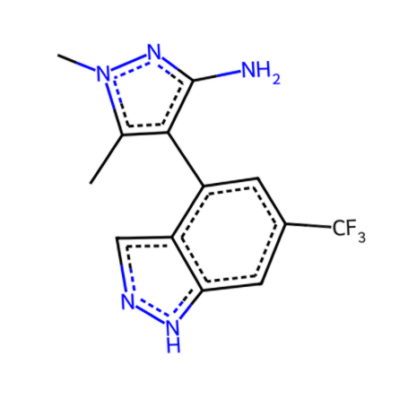 Cc1c(-c2cc(C(F)(F)F)cc3[nH]ncc23)c(N)nn1C